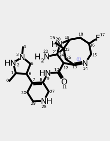 CC1NN(C)CC1C1=C(NC(=O)C2/C3=N/CC(F)CC(NC2N)C(C)(C)C3)CNCC1